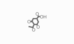 CC(=O)C1C(=O)CC(C(=O)O)CC1=O